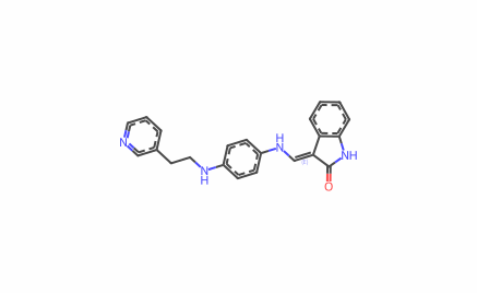 O=C1Nc2ccccc2/C1=C\Nc1ccc(NCCc2cccnc2)cc1